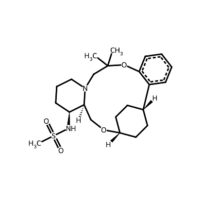 CC1(C)CN2CCC[C@H](NS(C)(=O)=O)[C@@H]2CO[C@H]2CC[C@H](CC2)c2ccccc2O1